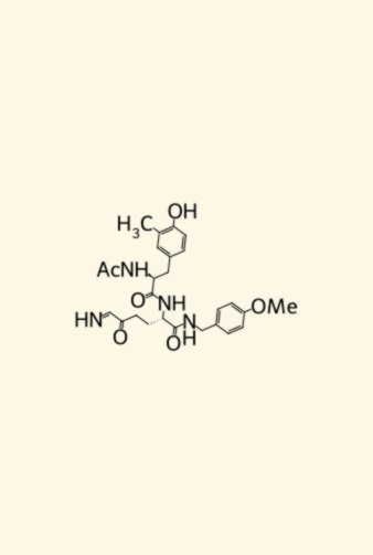 COc1ccc(CNC(=O)[C@H](CCC(=O)C=N)NC(=O)[C@H](Cc2ccc(O)c(C)c2)NC(C)=O)cc1